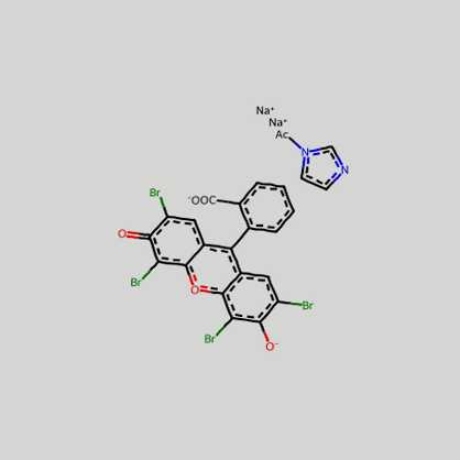 CC(=O)n1ccnc1.O=C([O-])c1ccccc1-c1c2cc(Br)c(=O)c(Br)c-2oc2c(Br)c([O-])c(Br)cc12.[Na+].[Na+]